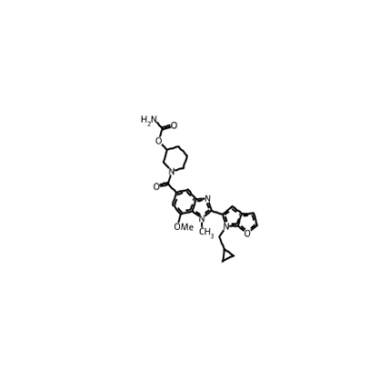 COc1cc(C(=O)N2CCCC(OC(N)=O)C2)cc2nc(-c3cc4ccoc4n3CC3CC3)n(C)c12